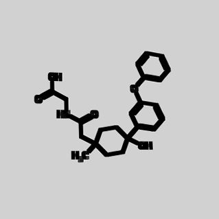 CC1(CC(=O)NCC(=O)O)CCC(O)(c2cccc(Oc3ccccc3)c2)CC1